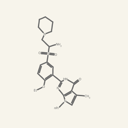 CCCn1cc(C)c2c(=O)[nH]c(-c3cc(S(=O)(=O)C(N)CN4CCCCC4)ccc3OCC)nc21